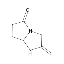 C=C1CN2C(=O)CCC2N1